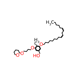 CCCCC/C=C\C/C=C\CCCCCCCCOc1cc(CO)cc(OCCCCOC2CCCCO2)c1C